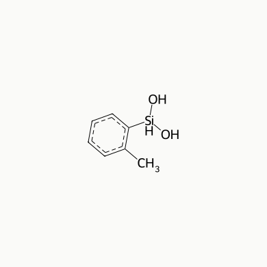 Cc1ccccc1[SiH](O)O